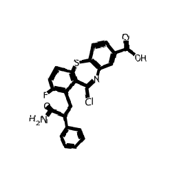 NC(=O)C(Cc1c(F)ccc2c1C(Cl)=Nc1cc(C(=O)O)ccc1S2)c1ccccc1